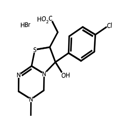 Br.CN1CN=C2SC(CC(=O)O)C(O)(c3ccc(Cl)cc3)N2C1